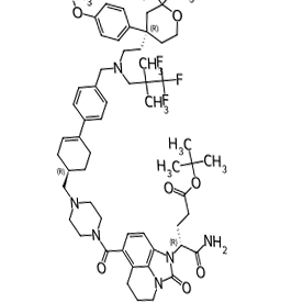 COc1ccc([C@]2(CCN(Cc3ccc(C4=CC[C@H](CN5CCN(C(=O)c6ccc7c8c6CCCn8c(=O)n7[C@H](CCC(=O)OC(C)(C)C)C(N)=O)CC5)CC4)cc3)CC(C)(C)C(F)(F)F)CCOC(C)(C)C2)cc1